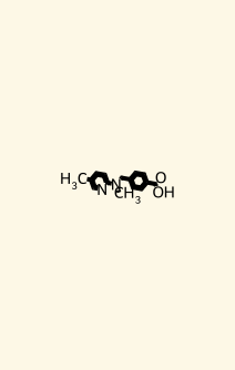 Cc1ccc(N(C)Cc2ccc(C(=O)O)cc2)nc1